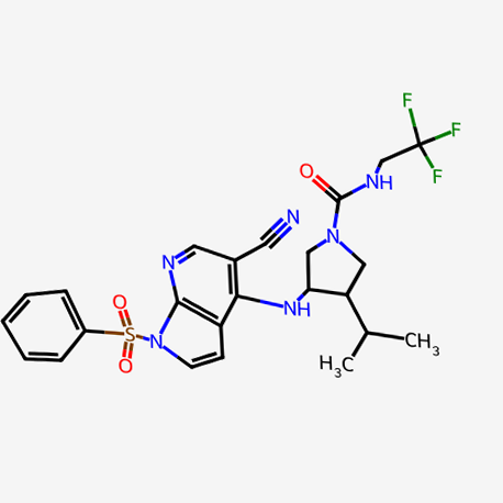 CC(C)C1CN(C(=O)NCC(F)(F)F)CC1Nc1c(C#N)cnc2c1ccn2S(=O)(=O)c1ccccc1